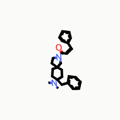 CN(C)C1(Cc2ccccc2)CCC2(CCN(C(=O)/C=C\c3ccccc3)C2)CC1